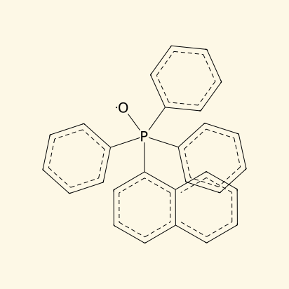 [O]P(c1ccccc1)(c1ccccc1)(c1ccccc1)c1cccc2ccccc12